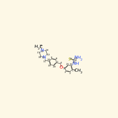 Cc1ccc(OCc2ccc(CN3CCN(C)CC3)cc2)cc1NC(N)=S